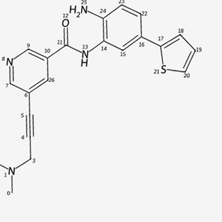 CN(C)CC#Cc1cncc(C(=O)Nc2cc(-c3cccs3)ccc2N)c1